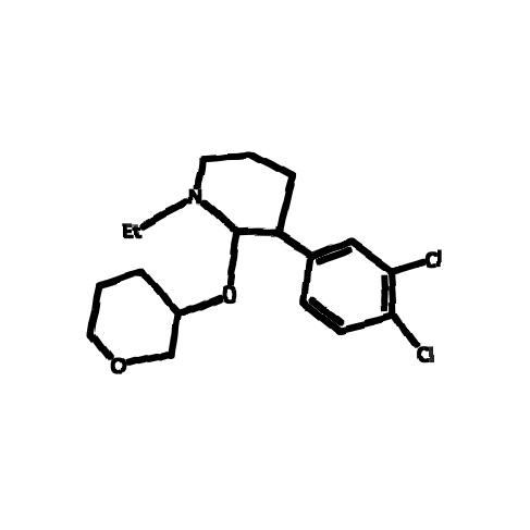 CCN1CCCC(c2ccc(Cl)c(Cl)c2)C1OC1CCCOC1